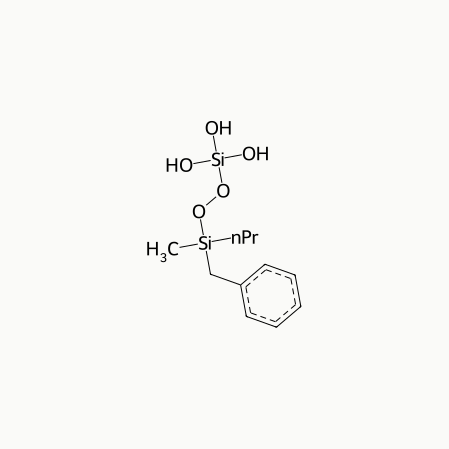 CCC[Si](C)(Cc1ccccc1)OO[Si](O)(O)O